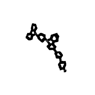 Brc1ccc(-c2ccc(-c3ccc4c(c3)c3ccccc3n4-c3ccc(-n4c5ccccc5c5ccccc54)cc3)cc2)cc1